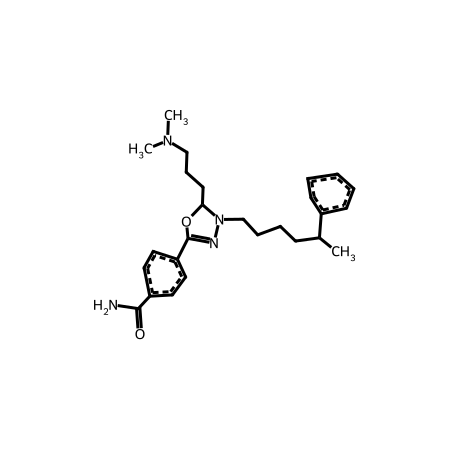 CC(CCCCN1N=C(c2ccc(C(N)=O)cc2)OC1CCCN(C)C)c1ccccc1